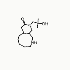 CC(C)(O)CN1CC2CNCCCCCC2CC1=O